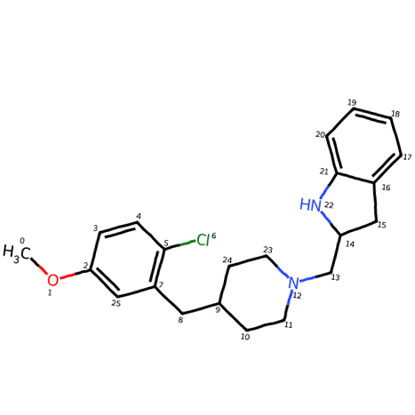 COc1ccc(Cl)c(CC2CCN(CC3Cc4ccccc4N3)CC2)c1